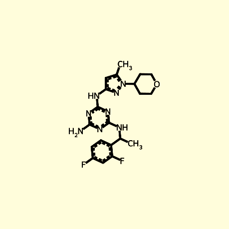 Cc1cc(Nc2nc(N)nc(NC(C)c3ccc(F)cc3F)n2)nn1C1CCOCC1